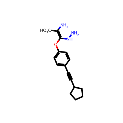 NN/C(Oc1ccc(C#CC2CCCC2)cc1)=C(\N)C(=O)O